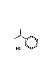 Cl.[CH3][Al]([CH3])[c]1ccccc1